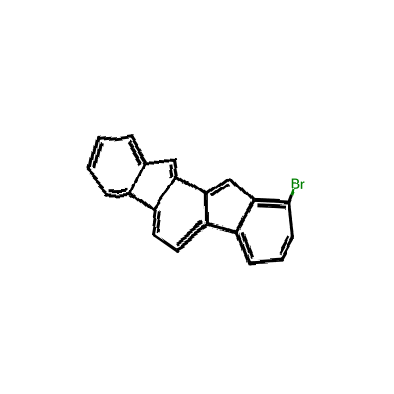 Brc1cccc2c1C=c1c-2ccc2c1=Cc1ccccc1-2